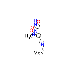 CNCCCN1CCC(c2ccc3c(c2)n(C)c(=O)n3C2CCC(=O)NC2=O)CC1